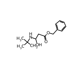 CC(C)(C)NC(O)CC(=O)OCc1ccccc1